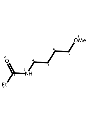 CCC(=O)NCCCCOC